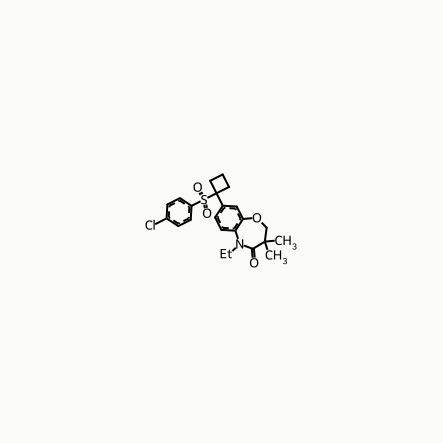 CCN1C(=O)C(C)(C)COc2cc(C3(S(=O)(=O)c4ccc(Cl)cc4)CCC3)ccc21